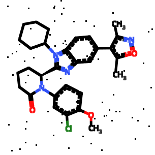 COc1ccc(N2C(=O)CCC[C@H]2c2nc3cc(-c4c(C)noc4C)ccc3n2C2CCCCC2)cc1Cl